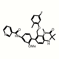 COc1cc(NC(=O)c2cccnc2)ccc1-c1ccc2c(c1COc1cc(F)ccc1C)N(C)C(=O)C(C)(C)N2